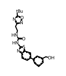 CC(C)(C)c1nc(CCNC(=O)Nc2nc3ccc(-c4cccc(CO)c4)cc3s2)no1